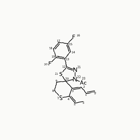 C=C/C=C1\C(=C/C)SCCC12SC(c1cc(F)ccc1F)=NN2C(C)=O